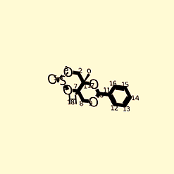 C[C@]12CO[S@@](=O)O[C@H]1COC(c1ccccc1)O2